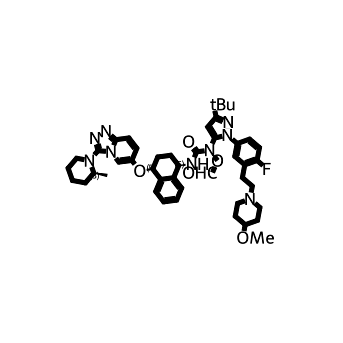 COC1CCN(CCc2cc(-n3nc(C(C)(C)C)cc3N(OC=O)C(=O)N[C@H]3CC[C@@H](Oc4ccc5nnc(N6CCCC[C@@H]6C)n5c4)c4ccccc43)ccc2F)CC1